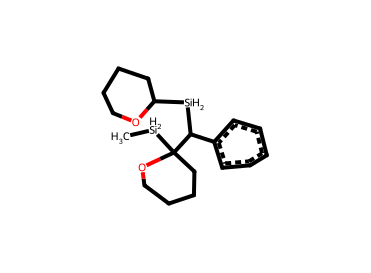 C[SiH2]C1(C([SiH2]C2CCCCO2)c2ccccc2)CCCCO1